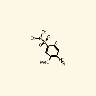 CCN(CC)S(=O)(=O)c1ccc([N+]#N)c(OC)c1.[Cl-]